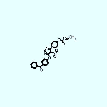 CCOC(=O)OC1CCN(c2ncnc(Oc3ccc(C(=O)c4ccccc4)cc3)c2[N+](=O)[O-])CC1